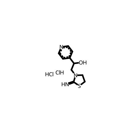 Cl.Cl.N=C1SCCN1CC(O)c1ccncc1